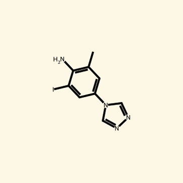 Cc1cc(-n2cnnc2)cc(I)c1N